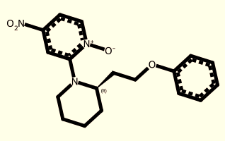 O=[N+]([O-])c1cc[n+]([O-])c(N2CCCC[C@@H]2CCOc2ccccc2)c1